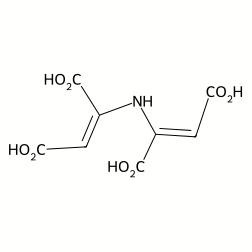 O=C(O)C=C(NC(=CC(=O)O)C(=O)O)C(=O)O